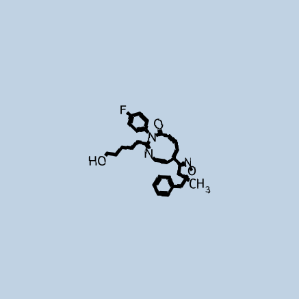 CC1(Cc2ccccc2)CC(c2cccc(=O)n(-c3ccc(F)cc3)c(CCCCCO)ncc2)=NO1